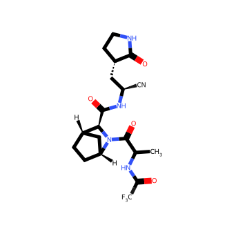 CC(NC(=O)C(F)(F)F)C(=O)N1[C@@H]2CC[C@@H](C2)[C@H]1C(=O)N[C@H](C#N)C[C@@H]1CCNC1=O